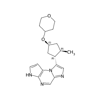 C[C@@H]1C[C@H](OC2CCOCC2)C[C@H]1c1cnc2cnc3[nH]ccc3n12